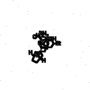 CCC(CC)CN(CCN1[C@@H]2CC[C@H]1C[C@@H](c1cccc(C(N)=O)c1)C2)C(=O)[C@@H](C)O